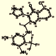 CC(Nc1nc(N)nc(N)c1C(F)(F)F)c1nc2cccc(Cl)c2c(=O)n1-c1cc[nH]n1